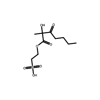 CCCCC(=O)C(C)(O)C(=O)OCCS(=O)(=O)O